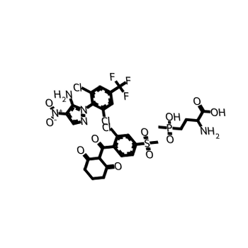 CP(=O)(O)CCC(N)C(=O)O.CS(=O)(=O)c1ccc(C(=O)C2C(=O)CCCC2=O)c(Cl)c1.Nc1c([N+](=O)[O-])cnn1-c1c(Cl)cc(C(F)(F)F)cc1Cl